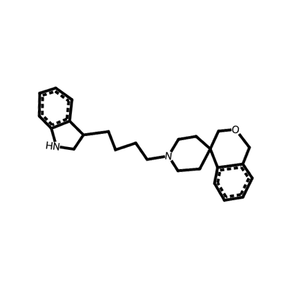 c1ccc2c(c1)COCC21CCN(CCCCC2CNc3ccccc32)CC1